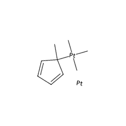 C[C]1([Pt]([CH3])([CH3])[CH3])C=CC=C1.[Pt]